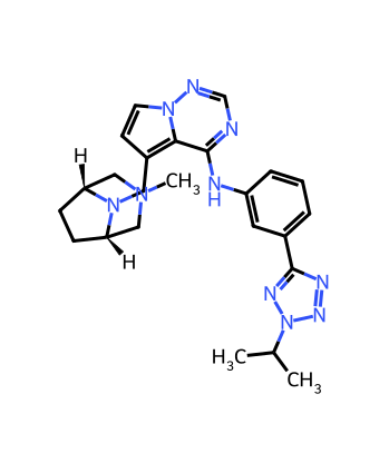 CC(C)n1nnc(-c2cccc(Nc3ncnn4ccc(CN5[C@@H]6CC[C@H]5CN(C)C6)c34)c2)n1